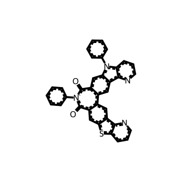 O=c1c2cc3sc4cccnc4c3cc2c2cc3c4ncccc4n(-c4ccccc4)c3cc2c(=O)n1-c1ccccc1